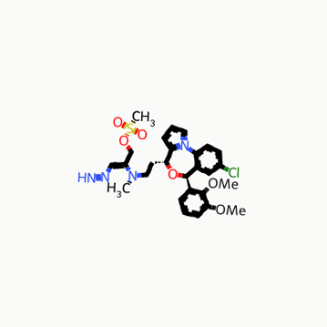 COc1cccc([C@H]2O[C@H](CCN(C)/C(=C\N=N)COS(C)(=O)=O)c3cccn3-c3ccc(Cl)cc32)c1OC